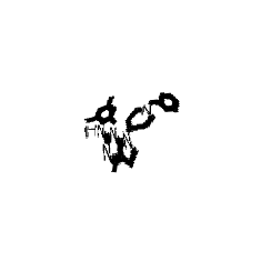 Cc1cc(C)c(Nc2nc(C)c3c(n2)N(C2CCN(Cc4ccccc4)CC2)CC3)c(C)c1